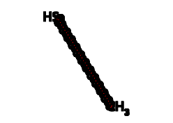 COCCOCCOCCOCCOCCOCCOCCOCCOCCOCCOCCOCCOCCOCCOCCOCCOCCOCCOCCOCCOCCOCCOC(=O)CCS